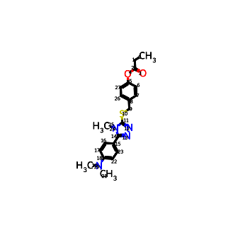 CCC(=O)Oc1ccc(CSc2nnc(-c3ccc(N(C)C)cc3)n2C)cc1